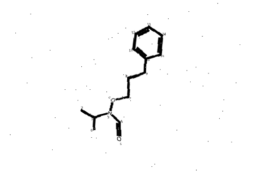 CC(C)N(C=O)OCCCc1ccccc1